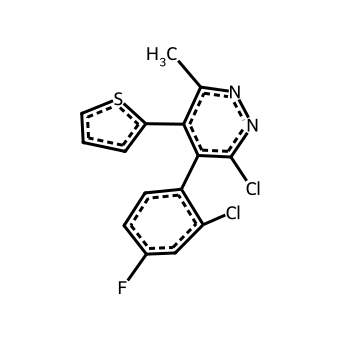 Cc1nnc(Cl)c(-c2ccc(F)cc2Cl)c1-c1cccs1